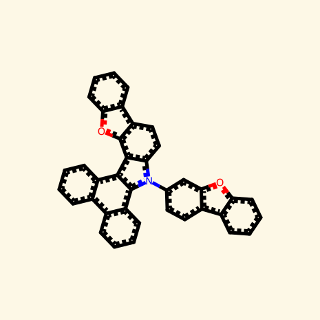 c1ccc2c(c1)oc1cc(-n3c4ccc5c6ccccc6oc5c4c4c5ccccc5c5ccccc5c43)ccc12